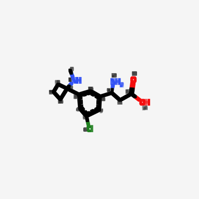 CNC1(c2cc(Cl)cc([C@@H](N)CC(=O)O)c2)CCC1